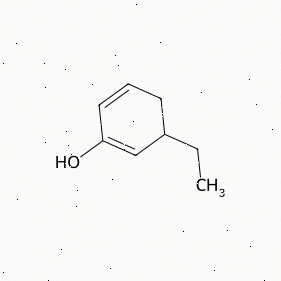 CCC1C=C(O)C=CC1